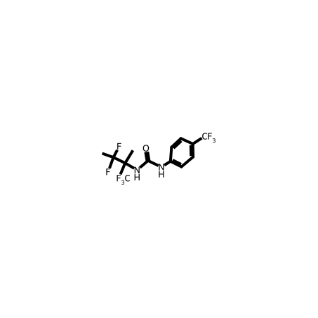 CC(F)(F)C(C)(NC(=O)Nc1ccc(C(F)(F)F)cc1)C(F)(F)F